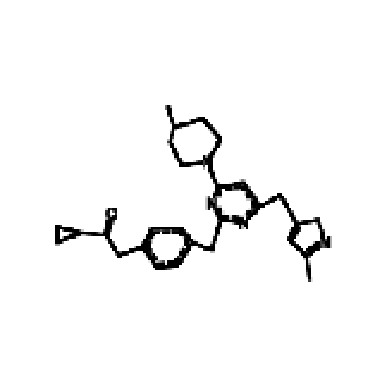 CC1=NCC(Cc2cc(N3CCC(C)CC3)nc(Cc3ccc(CC(=O)C4CC4)cc3)n2)=C1